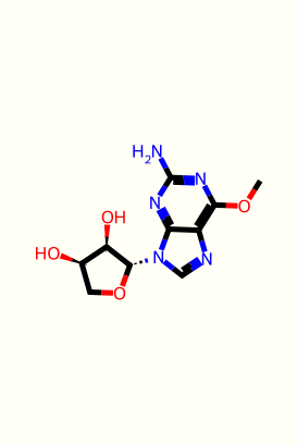 COc1nc(N)nc2c1ncn2[C@@H]1OC[C@@H](O)[C@H]1O